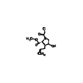 C=CCC1C(O)CN(C(=O)CCl)[C@H]1C(=O)OC